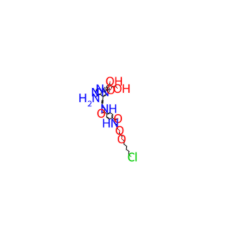 Nc1ncnc2c1c(C#CCNC(=O)c1ccc(C(=O)NCCOCCOCCCCCCCl)cc1)cn2[C@H]1CC(O)C(CO)O1